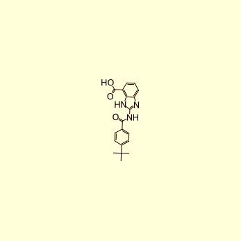 CC(C)(C)c1ccc(C(=O)Nc2nc3cccc(C(=O)O)c3[nH]2)cc1